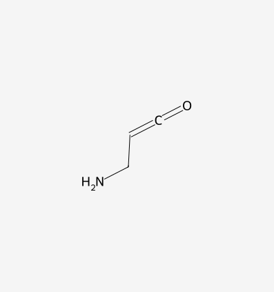 NCC=C=O